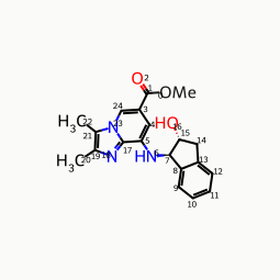 COC(=O)c1cc(N[C@@H]2c3ccccc3C[C@H]2O)c2nc(C)c(C)n2c1